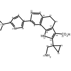 CN(C)c1ccc(-c2cc3c(cn2)CCc2c-3[nH]c(C3(CN)CC3)c2C(=O)O)cn1